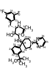 CC(=O)N[C@@H](Cc1cc(F)cc(F)c1)[C@@H](O)CNC1(c2cccc(C(C)(C)C)c2)CCN(c2ncccn2)CC1